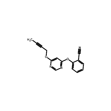 CC#CCOc1cc(Oc2ccccc2C#N)ncn1